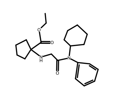 CCOC(=O)C1(NCC(=O)N(c2ccccc2)C2CCCCC2)CCCC1